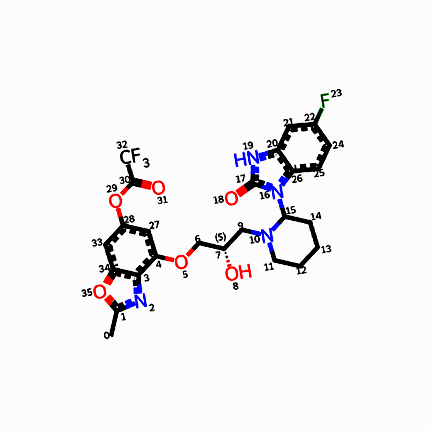 Cc1nc2c(OC[C@@H](O)CN3CCCCC3n3c(=O)[nH]c4cc(F)ccc43)cc(OC(=O)C(F)(F)F)cc2o1